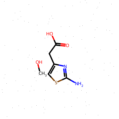 CO.Nc1nc(CC(=O)O)cs1